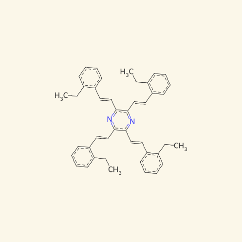 CCc1ccccc1C=Cc1nc(C=Cc2ccccc2CC)c(C=Cc2ccccc2CC)nc1C=Cc1ccccc1CC